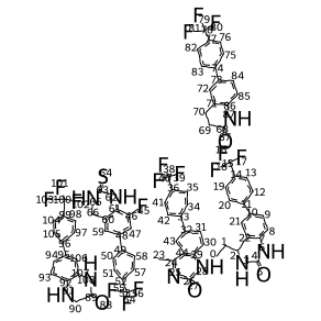 CCC1NC(=O)Nc2ccc(-c3ccc(C(F)(F)F)cc3)cc21.Cc1nc(=O)[nH]c2ccc(-c3ccc(C(F)(F)F)cc3)cc12.Fc1cc(-c2ccc(C(F)(F)F)cc2)cc2c1NC(=S)NC2.O=C1CCc2cc(-c3ccc(C(F)(F)F)cc3)ccc2N1.O=C1CNc2ccc(-c3ccc(C(F)(F)F)cc3)cc2N1